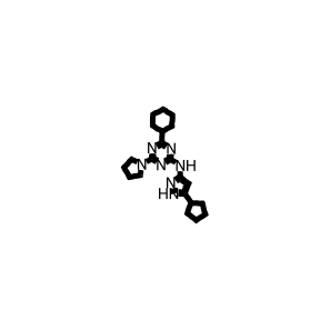 c1c(Nc2nc(C3CCCCC3)nc(N3CCCC3)n2)n[nH]c1C1CCCC1